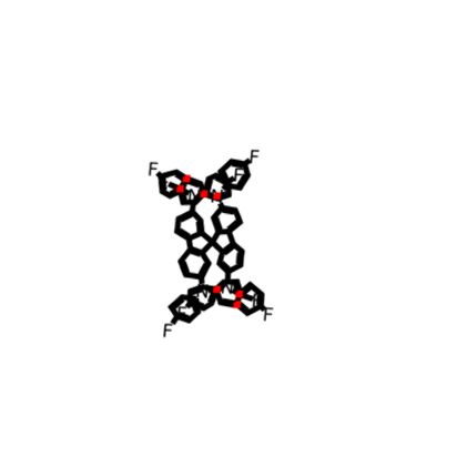 Fc1ccc(N(c2ccc(F)cc2)c2ccc3c(c2)C2(c4cc(N(c5ccc(F)cc5)c5ccc(F)cc5)ccc4-3)c3cc(N(c4ccc(F)cc4)c4ccc(F)cc4)ccc3-c3ccc(N(c4ccc(F)cc4)c4ccc(F)cc4)cc32)cc1